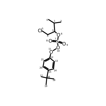 CC(C)C(CCl)OS(=O)(=O)OOc1ccc(C(C)(C)C)cc1